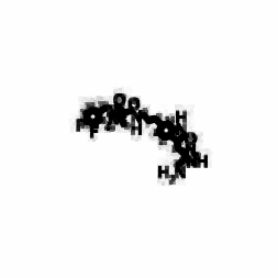 Cc1c(C(=O)NC/C=C/c2ccc3c(c2)NC(=O)/C3=C\c2nc[nH]c2CN)c(=O)n(Cc2ccc(F)c(F)c2)n1C